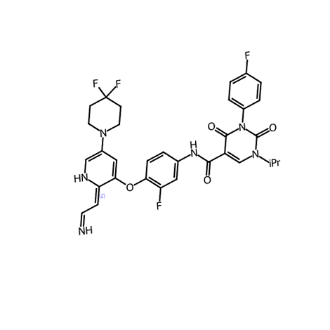 CC(C)n1cc(C(=O)Nc2ccc(OC3=CC(N4CCC(F)(F)CC4)=CN/C3=C\C=N)c(F)c2)c(=O)n(-c2ccc(F)cc2)c1=O